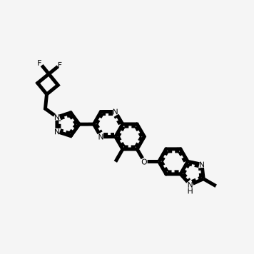 Cc1nc2ccc(Oc3ccc4ncc(-c5cnn(CC6CC(F)(F)C6)c5)nc4c3C)cc2[nH]1